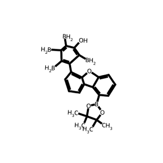 Bc1c(B)c(O)c(B)c(-c2cccc3c2oc2cccc(B4OC(C)(C)C(C)(C)O4)c23)c1B